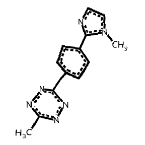 Cc1nnc(-c2ccc(-c3nccn3C)cc2)nn1